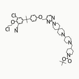 CC(C)(C)OC(=O)N1CCC(CN2CCC(N3CCC4(CCN(c5nccc(COc6ccc(C(C)(C)c7cc(Cl)c(OCCCl)c(C#N)c7)cc6)n5)CC4)CC3)CC2)CC1